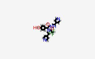 O=C(NCCc1ccncc1)C(c1ccc(O)cc1)N(CCc1ccncc1)C(=O)C(F)(F)F